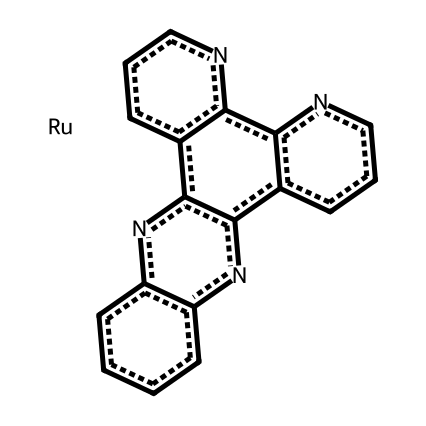 [Ru].c1ccc2nc3c4cccnc4c4ncccc4c3nc2c1